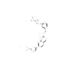 CN(C)c1ncc(-c2ccc3cnc(NC(=O)c4ccnc(N5CC(N(C)C)C5)c4)nc3c2)s1